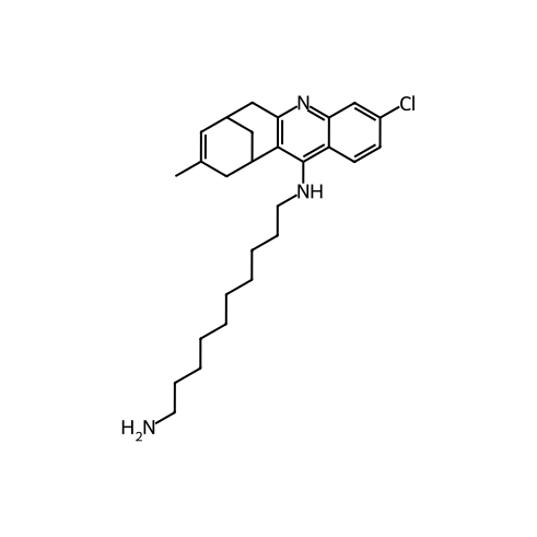 CC1=CC2Cc3nc4cc(Cl)ccc4c(NCCCCCCCCCCN)c3C(C1)C2